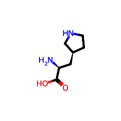 N[C@@H](C[C@@H]1CCNC1)C(=O)O